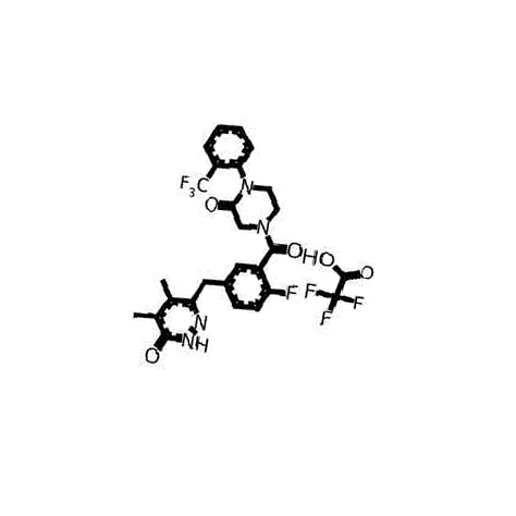 Cc1c(Cc2ccc(F)c(C(=O)N3CCN(c4ccccc4C(F)(F)F)C(=O)C3)c2)n[nH]c(=O)c1C.O=C(O)C(F)(F)F